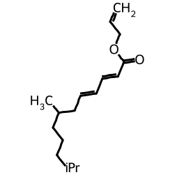 C=CCOC(=O)C=CC=CCC(C)CCCC(C)C